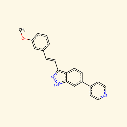 COc1cccc(/C=C/c2n[nH]c3cc(-c4ccncc4)ccc23)c1